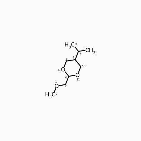 COCC1OCC(C(C)C)CO1